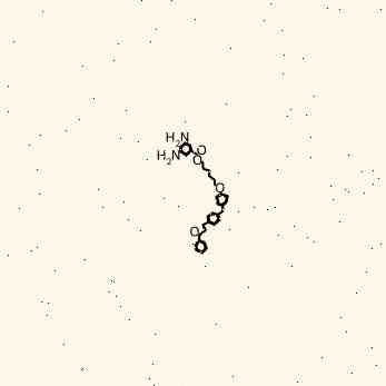 Nc1cc(N)cc(C(=O)OCCCCCCOc2ccc(Cc3ccc(/C=C/C(=O)c4ccccc4)cc3)cc2)c1